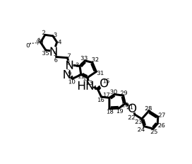 C[C@@H]1CCCN(CCn2ncc3c(NC(=O)Cc4ccc(OCc5ccccc5)cc4)cccc32)C1